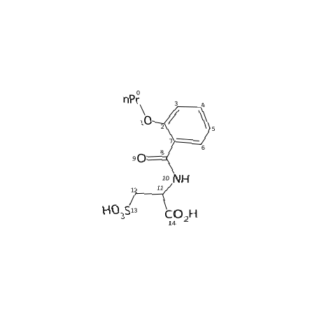 CCCOc1ccccc1C(=O)NC(CS(=O)(=O)O)C(=O)O